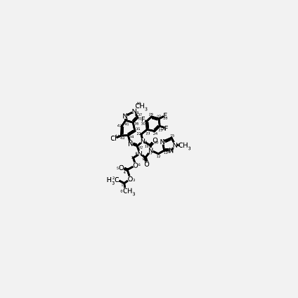 CC(C)OC(=O)OCn1c(=O)n(Cc2ncn(C)n2)c(=O)n(Cc2cc(F)c(F)cc2F)/c1=N\c1cc2cn(C)nc2cc1Cl